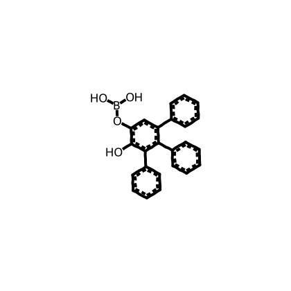 OB(O)Oc1cc(-c2ccccc2)c(-c2ccccc2)c(-c2ccccc2)c1O